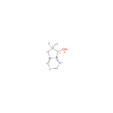 CC1(C)Cc2cccnc2C1O